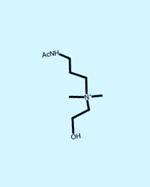 CC(=O)NCCC[N+](C)(C)CCO